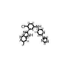 Cc1cnc2nc(-c3cc(Nc4ccc(-n5cncn5)nc4)ccc3Cl)[nH]c2c1